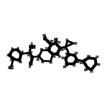 O=C([C@H](O)c1cccc(Cl)c1)N1CCc2nc(C3(c4cncc(-c5ccccc5)c4)CC3)[nH]c(=O)c2C1